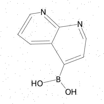 OB(O)c1ccnc2ncccc12